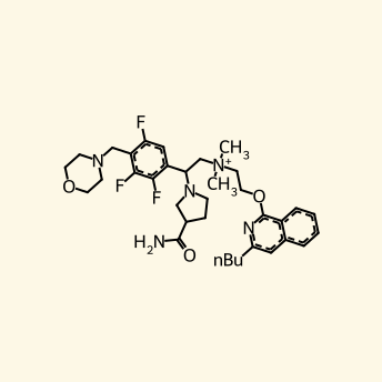 CCCCc1cc2ccccc2c(OCC[N+](C)(C)CC(c2cc(F)c(CN3CCOCC3)c(F)c2F)N2CCC(C(N)=O)C2)n1